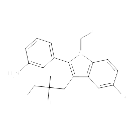 CCn1c(-c2cccc(N)c2)c(CC(C)(C)CC)c2cc(Br)ccc21